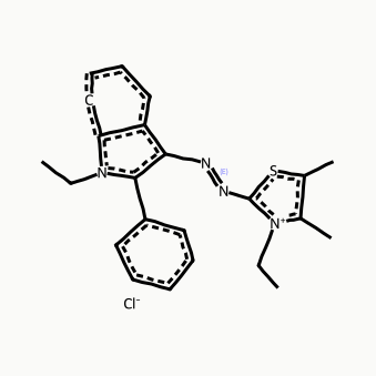 CCn1c(-c2ccccc2)c(/N=N/c2sc(C)c(C)[n+]2CC)c2ccccc21.[Cl-]